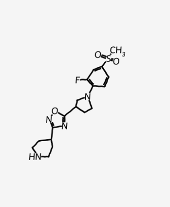 CS(=O)(=O)c1ccc(N2CCC(c3nc(C4CCNCC4)no3)C2)c(F)c1